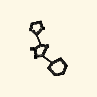 c1ccc(-c2n[nH]c(-c3ncco3)n2)cc1